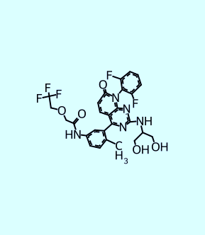 Cc1ccc(NC(=O)COCC(F)(F)F)cc1-c1nc(NC(CO)CO)nc2c1ccc(=O)n2-c1c(F)cccc1F